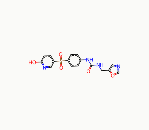 O=C(NCc1cnco1)Nc1ccc(S(=O)(=O)c2ccc(O)nc2)cc1